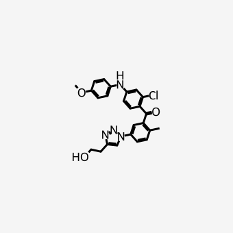 COc1ccc(Nc2ccc(C(=O)c3cc(-n4cc(CCO)nn4)ccc3C)c(Cl)c2)cc1